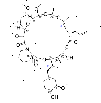 C=CC[C@@H]1/C=C(\C)C[C@H](C)C[C@H](OC)[C@H]2O[C@@H](C(=O)C(=O)N3CCCC[C@H]3C(=O)O[C@H](/C(C)=C/[C@@H]3CC[C@@H](O)[C@H](OC)C3)[C@H](C)[C@@H](O)CC1=O)[C@H](C)C[C@@H]2OC